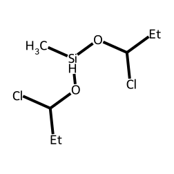 CCC(Cl)O[SiH](C)OC(Cl)CC